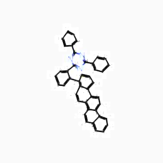 c1ccc(-c2nc(-c3ccccc3)nc(-c3ccccc3-c3cccc4c3ccc3c4ccc4c5ccccc5ccc43)n2)cc1